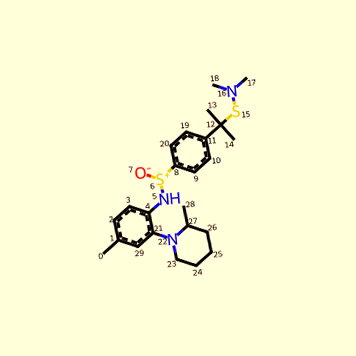 Cc1ccc(N[S+]([O-])c2ccc(C(C)(C)SN(C)C)cc2)c(N2CCCCC2C)c1